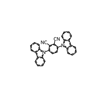 N#Cc1c(-n2c3ccccc3c3ccccc32)ccc(-n2c3ccccc3c3ccccc32)c1C#N